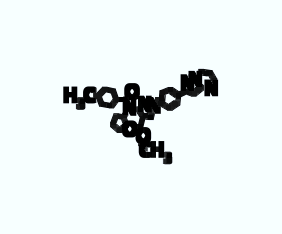 CCOC(=O)c1cn(-c2ccc(-c3cc4ncccn4n3)cc2)nc1N(C(=O)C1CCC(C)CC1)C1CCCC1